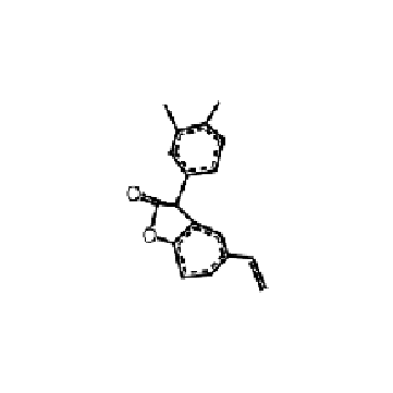 C=Cc1ccc2c(c1)C(c1ccc(C)c(C)c1)C(=O)O2